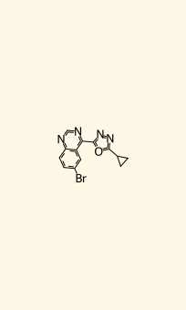 Brc1ccc2ncnc(-c3nnc(C4CC4)o3)c2c1